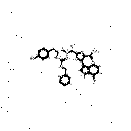 COC(=O)c1nc([C@@H](NC[C@@H](Cc2ccc(O)cc2)NC(=O)OCc2ccccc2)C(C)C)oc1-c1c[nH]c2c(Br)cccc12